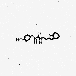 O=C(NCCc1cc2ccccc2s1)NCc1ccc(O)cc1